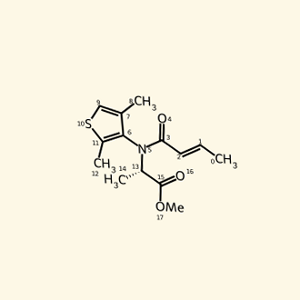 CC=CC(=O)N(c1c(C)csc1C)[C@@H](C)C(=O)OC